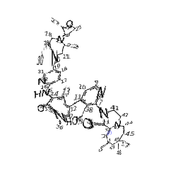 C=C1/C=C2/C(=O)N(c3nccc(-c4cc(Nc5ccc(N6CCN(C7COC7)C[C@H]6C)cn5)c(=O)n(C)c4)c3CO)CCN2CCC(C)(C)C1